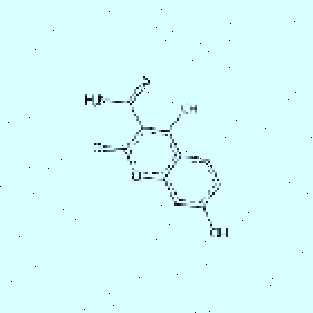 Cc1c(C(N)=S)c(=O)oc2cc(O)ccc12